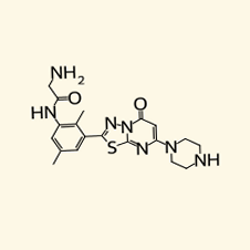 Cc1cc(NC(=O)CN)c(C)c(-c2nn3c(=O)cc(N4CCNCC4)nc3s2)c1